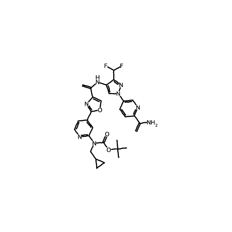 C=C(N)c1ccc(-n2cc(NC(=C)c3coc(-c4ccnc(N(CC5CC5)C(=O)OC(C)(C)C)c4)n3)c(C(F)F)n2)cn1